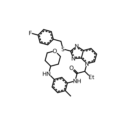 CCC(C(=O)Nc1cc(NC2CCOCC2)ccc1C)n1cccc2nc(SCc3ccc(F)cc3)nc1-2